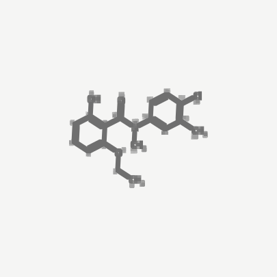 CCOc1cccc(O)c1C(=O)N(C)c1ccc(Cl)c(C)c1